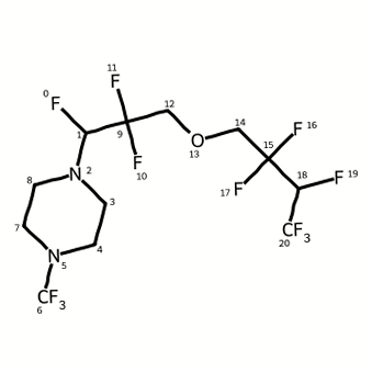 FC(N1CCN(C(F)(F)F)CC1)C(F)(F)COCC(F)(F)C(F)C(F)(F)F